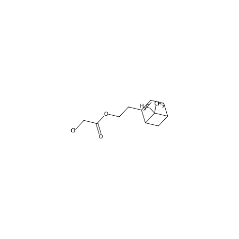 CC1(C)C2CC=C(CCOC(=O)CCl)C1C2